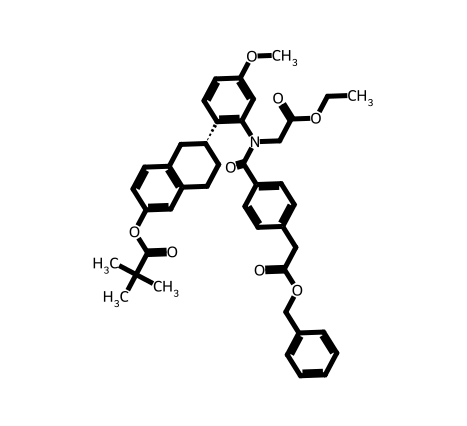 CCOC(=O)CN(C(=O)c1ccc(CC(=O)OCc2ccccc2)cc1)c1cc(OC)ccc1[C@@H]1CCc2cc(OC(=O)C(C)(C)C)ccc2C1